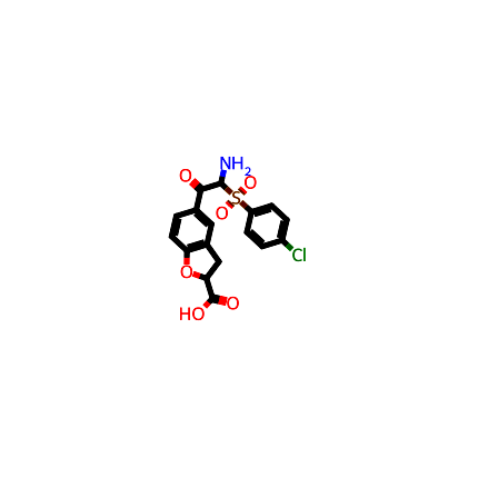 NC(C(=O)c1ccc2c(c1)CC(C(=O)O)O2)S(=O)(=O)c1ccc(Cl)cc1